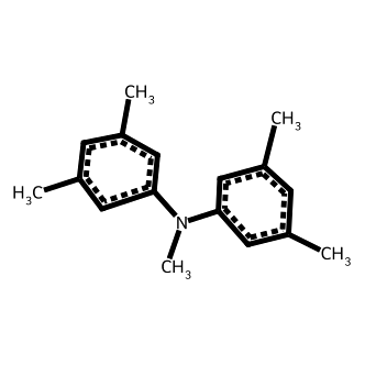 Cc1cc(C)cc(N(C)c2cc(C)cc(C)c2)c1